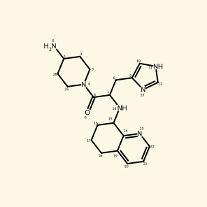 NC1CCN(C(=O)C(Cc2c[nH]cn2)NC2CCCc3cccnc32)CC1